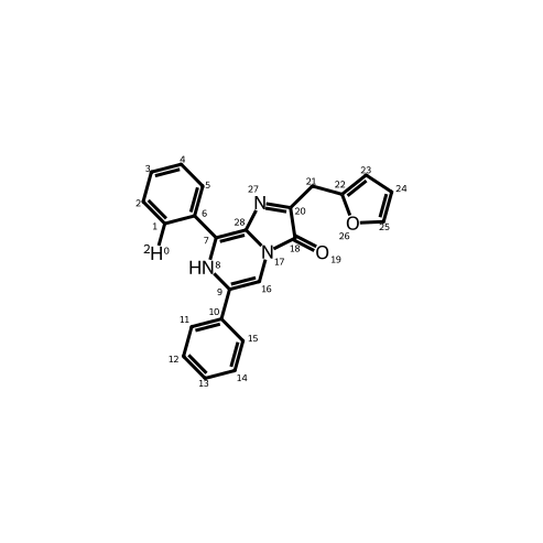 [2H]c1ccccc1-c1[nH]c(-c2ccccc2)cn2c(=O)c(Cc3ccco3)nc1-2